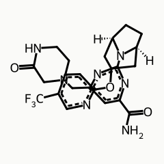 NC(=O)c1cc(CN2CCNC(=O)C2)nc(N2[C@@H]3CC[C@H]2CC(Oc2ccc(C(F)(F)F)cn2)C3)n1